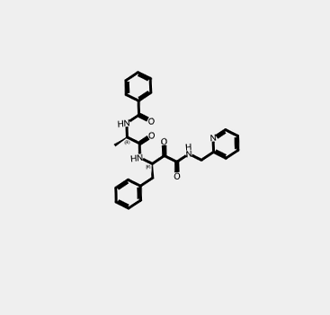 C[C@@H](NC(=O)c1ccccc1)C(=O)N[C@H](Cc1ccccc1)C(=O)C(=O)NCc1ccccn1